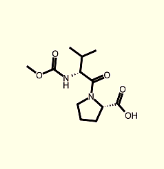 COC(=O)N[C@@H](C(=O)N1CCC[C@H]1C(=O)O)C(C)C